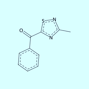 Cc1nsc(C(=O)c2ccccc2)n1